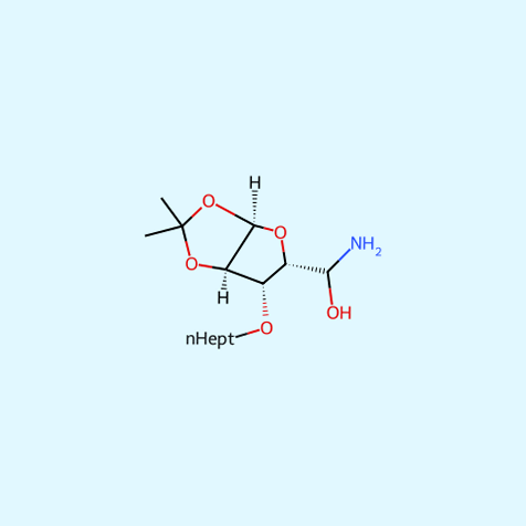 CCCCCCCO[C@@H]1[C@H]2OC(C)(C)O[C@H]2O[C@@H]1C(N)O